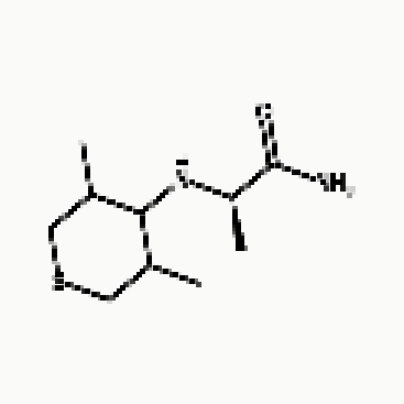 CC1CSCC(C)C1N[C@H](C)C(N)=O